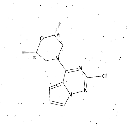 C[C@@H]1CN(c2nc(Cl)nn3cccc23)C[C@H](C)O1